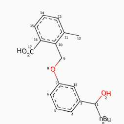 CCCCC(O)c1cccc(OCc2c(C)cccc2C(=O)O)c1